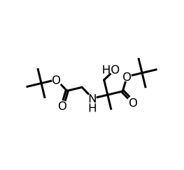 CC(C)(C)OC(=O)CNC(C)(CO)C(=O)OC(C)(C)C